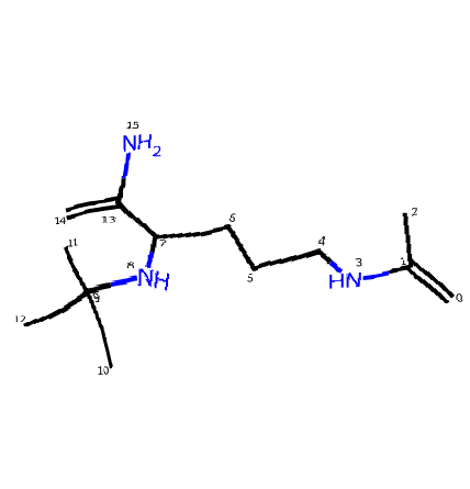 C=C(C)NCCCC(NC(C)(C)C)C(=C)N